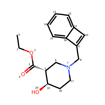 CCOC(=O)[C@@H]1CN(CC2=Cc3ccccc32)CC[C@H]1O